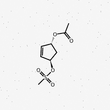 CC(=O)O[C@H]1C=C[C@H](OS(C)(=O)=O)C1